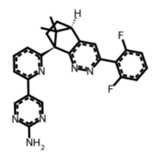 CC1(C)[C@H]2CC[C@@]1(c1cccc(-c3cnc(N)nc3)n1)c1nnc(-c3c(F)cccc3F)cc12